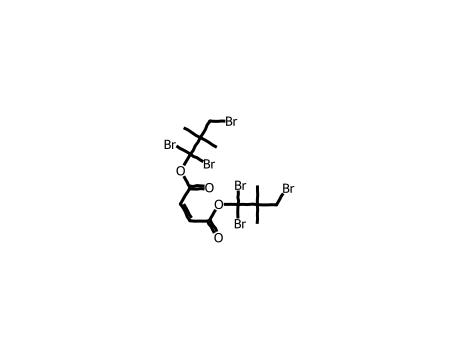 CC(C)(CBr)C(Br)(Br)OC(=O)/C=C\C(=O)OC(Br)(Br)C(C)(C)CBr